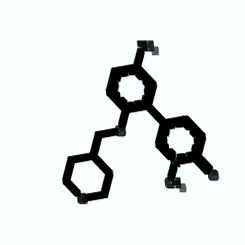 Cn1cc(-c2cc(N)ccc2OCC2CCOCC2)ccc1=O